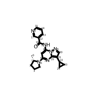 C[C@H]1CCCN1c1cc(NC(=O)c2cccnc2)n2ncc(C3CC3)c2n1